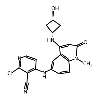 Cn1c(=O)cc(N[C@H]2C[C@H](O)C2)c2cc(Nc3ccnc(Cl)c3C#N)ccc21